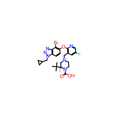 CC(C)(C)[C@@]1(C)CN(Cc2cc(F)cnc2Oc2ccc3c(nnn3CC3CC3)c2Br)CCN1C(=O)O